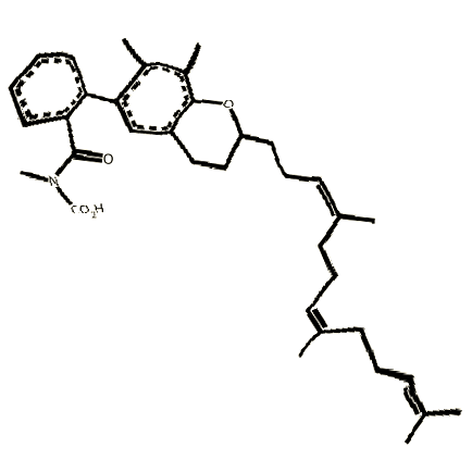 CC(C)=CCCC(C)=CCCC(C)=CCCC1CCc2cc(-c3ccccc3C(=O)N(C)C(=O)O)c(C)c(C)c2O1